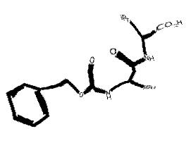 CCC(C)C(NC(=O)OCc1ccccc1)C(=O)NC(C(=O)O)C(C)C